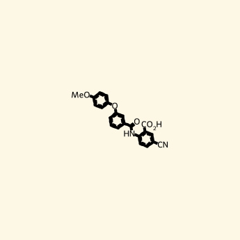 COc1ccc(Oc2cccc(C(=O)Nc3ccc(C#N)cc3C(=O)O)c2)cc1